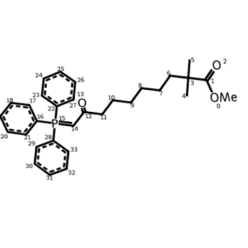 COC(=O)C(C)(C)CCCCCCC(=O)C=P(c1ccccc1)(c1ccccc1)c1ccccc1